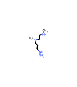 CNCCN(C)C/C=C/NN